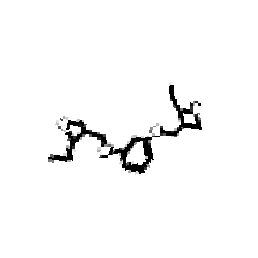 CCC1OCC1COc1cccc(OCC2COC2CC)c1